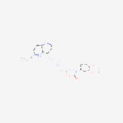 COc1ccc2nccc(NCCNC[C@H]3CN(c4ccc5c(c4)OCCO5)C(=O)O3)c2n1